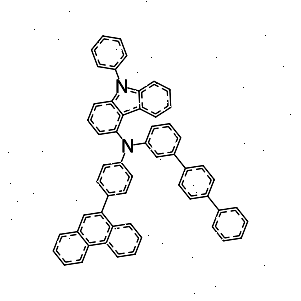 c1ccc(-c2ccc(-c3cccc(N(c4ccc(-c5cc6ccccc6c6ccccc56)cc4)c4cccc5c4c4ccccc4n5-c4ccccc4)c3)cc2)cc1